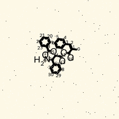 CC(=Cc1ccccc1)C(=O)OC(=O)C(OC(=O)c1ccccc1)[C@H](N)c1ccccc1